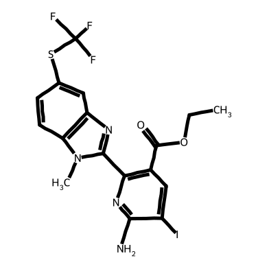 CCOC(=O)c1cc(I)c(N)nc1-c1nc2cc(SC(F)(F)F)ccc2n1C